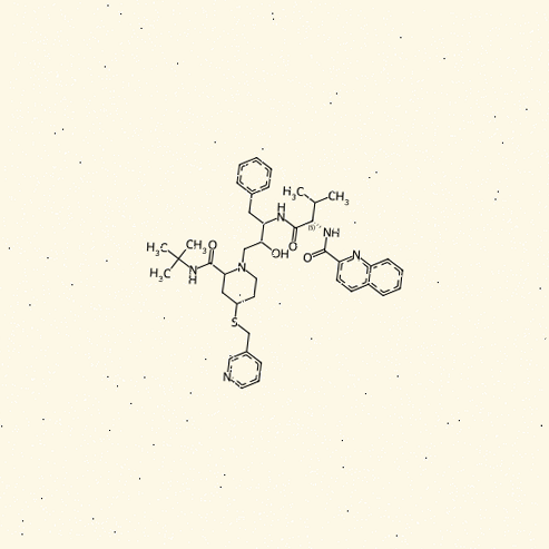 CC(C)[C@H](NC(=O)c1ccc2ccccc2n1)C(=O)NC(Cc1ccccc1)C(O)CN1CCC(SCc2cccnc2)CC1C(=O)NC(C)(C)C